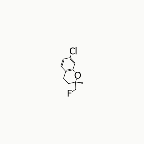 C[C@@]1(CF)CCc2ccc(Cl)cc2O1